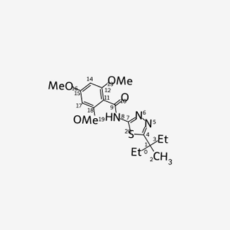 CCC(C)(CC)c1nnc(NC(=O)c2c(OC)cc(OC)cc2OC)s1